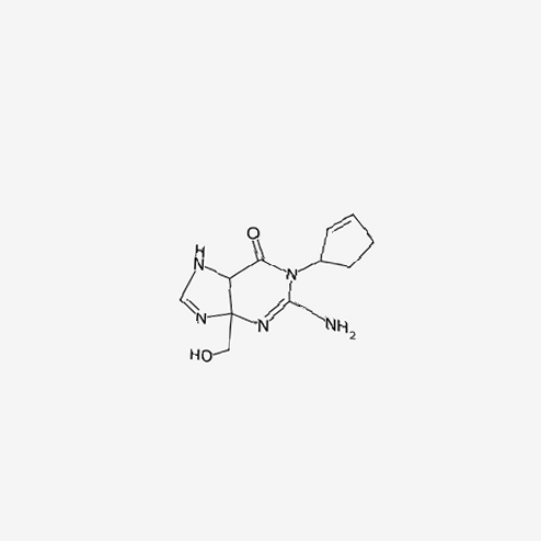 NC1=NC2(CO)N=CNC2C(=O)N1C1C=CCC1